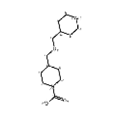 O=C(O)N1CCC(COCC2CCNCC2)CC1